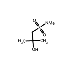 CNS(=O)(=O)CC(C)(C)O